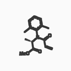 C=CC(=O)N(c1c(C)cccc1C)[C@@H](C)C(=O)OC